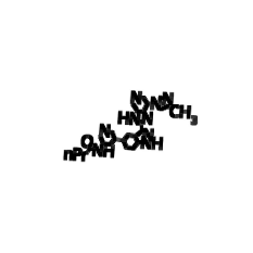 CCCC(=O)Nc1cncc(-c2ccc3[nH]nc(-c4nc5c(-n6cnc(C)c6)cncc5[nH]4)c3c2)c1